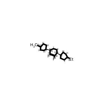 CCC1CCC([C@@H]2CC[C@H](C3CCC(C)CC3)C(F)=C2F)CC1